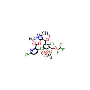 Cc1nn(C)c(OC(=O)c2nc(Cl)ccc2Cl)c1C(=O)c1ccc(S(C)(=O)=O)c(COC(F)C(F)F)c1Cl